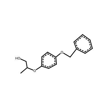 CC(CO)Oc1ccc(OCc2ccccc2)cc1